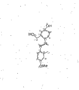 COc1ccc(N=Nc2ccc(O)cc2CO)c(C)c1